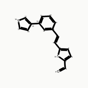 O=Cc1ccc(C=Cc2cccc(-c3ccsc3)c2)s1